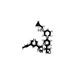 CC#Cc1cncc(-c2cn(C3(c4ccc(N5CCC[C@@H](NCC6CC6)C5)cn4)COC3)nn2)c1